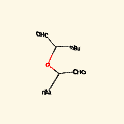 CCCCC(C=O)OC(C=O)CCCC